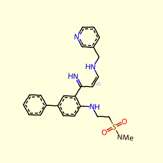 CNS(=O)(=O)CCNc1ccc(-c2ccccc2)cc1C(=N)/C=C\NCc1cccnc1